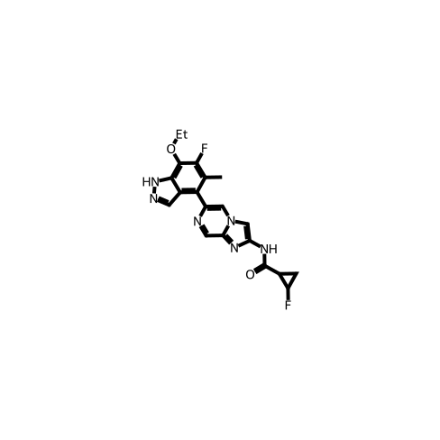 CCOc1c(F)c(C)c(-c2cn3cc(NC(=O)C4CC4F)nc3cn2)c2cn[nH]c12